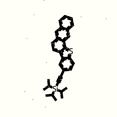 CC(C)[Si](C#Cc1ccc2sc3c4cc5ccccc5cc4ccc3c2c1)(C(C)C)C(C)C